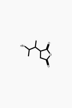 CCCCC(C)C(C)C1CC(=O)OC1=O